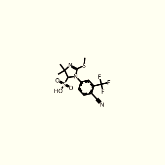 CSC1=NC(C)(C)C(S(=O)(=O)O)N1c1ccc(C#N)c(C(F)(F)F)c1